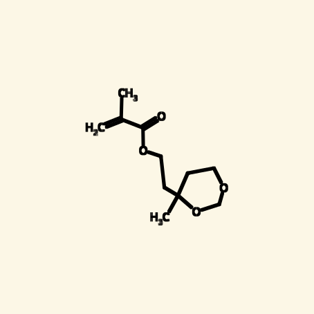 C=C(C)C(=O)OCCC1(C)CCOCO1